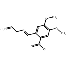 C=CCN=Cc1cc(OC)c(OC)cc1[N+](=O)[O-]